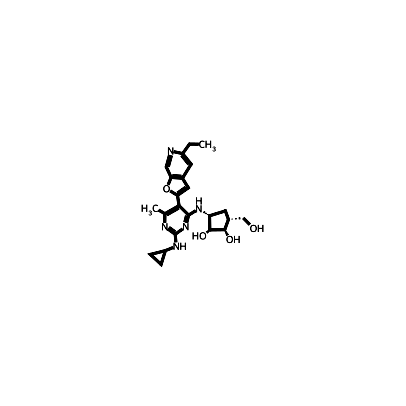 CCc1cc2cc(-c3c(C)nc(NC4CC4)nc3N[C@@H]3C[C@H](CO)[C@@H](O)[C@H]3O)oc2cn1